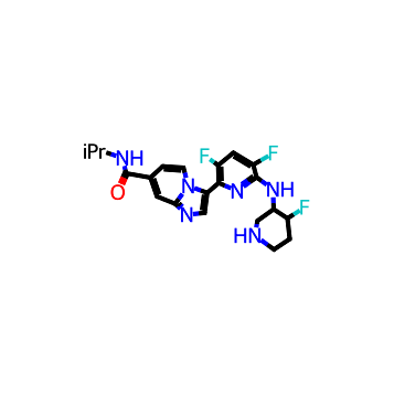 CC(C)NC(=O)c1ccn2c(-c3nc(NC4CNCCC4F)c(F)cc3F)cnc2c1